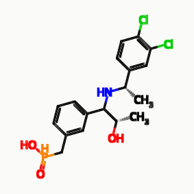 C[C@H](NC(c1cccc(C[PH](=O)O)c1)[C@H](C)O)c1ccc(Cl)c(Cl)c1